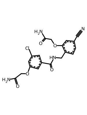 N#Cc1ccc(CNC(=O)c2cc(Cl)cc(OCC(N)=O)c2)c(OCC(N)=O)c1